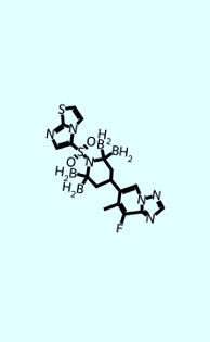 BC1(B)CC(c2cn3ncnc3c(F)c2C)CC(B)(B)N1S(=O)(=O)c1cnc2sccn12